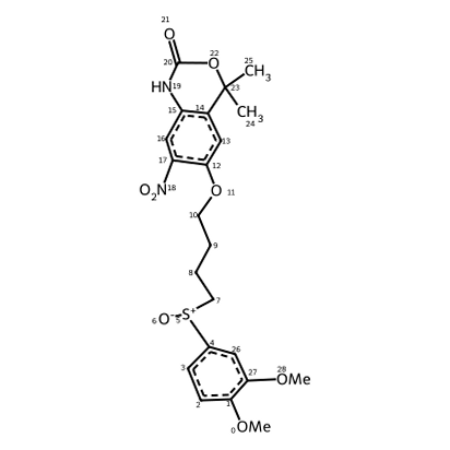 COc1ccc([S+]([O-])CCCCOc2cc3c(cc2[N+](=O)[O-])NC(=O)OC3(C)C)cc1OC